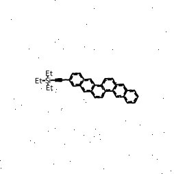 CC[Si](C#Cc1ccc2cc3c(ccc4c5cc6ccccc6cc5ccc34)cc2c1)(CC)CC